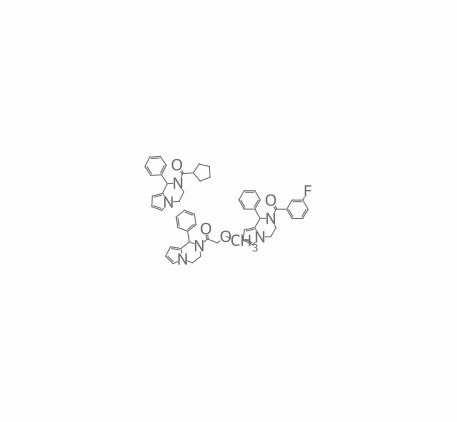 COCC(=O)N1CCn2cccc2C1c1ccccc1.O=C(C1CCCC1)N1CCn2cccc2C1c1ccccc1.O=C(c1cccc(F)c1)N1CCn2cccc2C1c1ccccc1